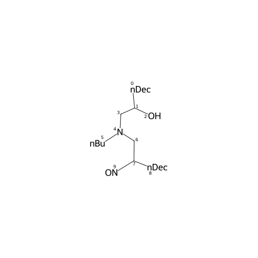 CCCCCCCCCCC(O)CN(CCCC)CC(CCCCCCCCCC)N=O